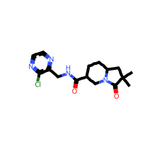 CC1(C)CC2CCC(C(=O)NCc3nccnc3Cl)CN2C1=O